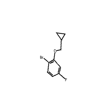 Fc1ccc(Br)c(OC[C]2CC2)c1